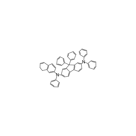 C1=Cc2ccc(N(c3ccccc3)c3ccc4c(c3)C(c3ccccc3)(c3ccccc3)c3cc(N(c5ccccc5)c5ccccc5)ccc3-4)cc2CC1